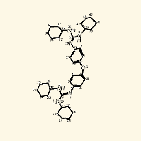 c1cc(Oc2ccc(N=C(NC3CCCCC3)NC3CCCCC3)cc2)ccc1N=C(NC1CCCCC1)NC1CCCCC1